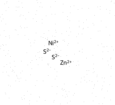 [Ni+2].[S-2].[S-2].[Zn+2]